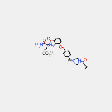 C[C@H](c1ccc(COc2cccc3c2CN([C@@H](CCC(=O)O)C(N)=O)C3=O)cc1)N1CCN(C(=O)C2CC2)CC1